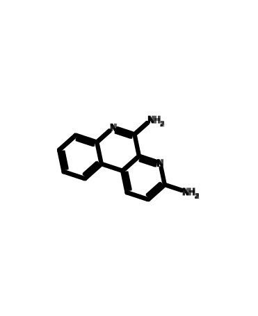 Nc1ccc2c(n1)c(N)nc1ccccc12